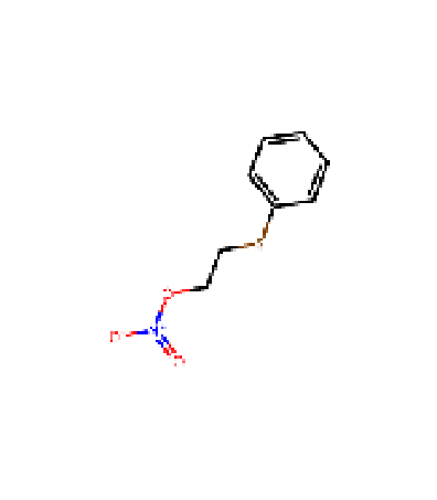 O=[N+]([O-])OCCSc1ccccc1